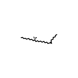 CCCCCCCCCC(CCCCCCCCCC1CC1CCCCCC)N(C)C